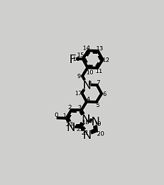 Cc1cc(C2CCCN(Cc3ccccc3F)C2)n2ncnc2n1